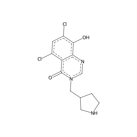 O=c1c2c(Cl)cc(Cl)c(O)c2ncn1CC1CCNC1